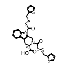 O=C(O)[C@H]1Cc2c(n(C(=O)SSCc3cccs3)c3ccccc23)CN1C(=O)SSCc1cccs1